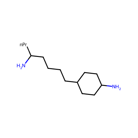 CCCC(N)CCCCC1CCC(N)CC1